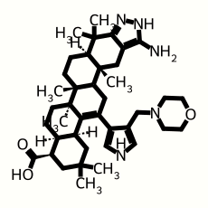 CC1(C)C[C@@H]2C3=C(c4c[nH]cc4CN4CCOCC4)CC4[C@@]5(C)Cc6c(n[nH]c6N)C(C)(C)[C@@H]5CC[C@@]4(C)[C@]3(C)CC[C@@H]2[C@H](C(=O)O)C1